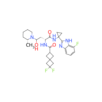 C[C@@H]1CCCCN1C(O)C[C@@H](NC(=O)C1CC2(C1)CC(F)(F)C2)C(=O)NC1(c2nc3cccc(F)c3[nH]2)CC1